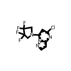 FC1(F)CN(c2cc(Cl)nc3ccnn23)CC1(F)F